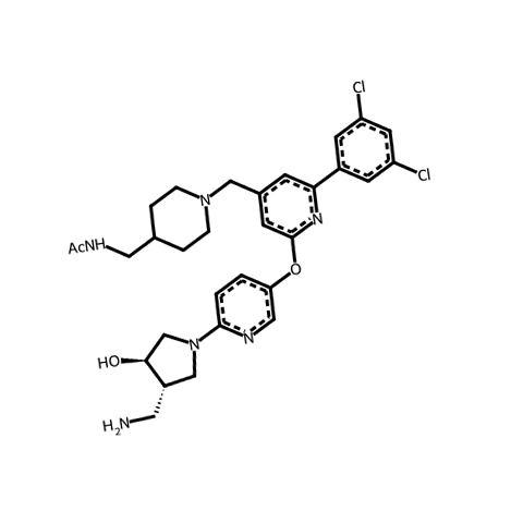 CC(=O)NCC1CCN(Cc2cc(Oc3ccc(N4C[C@H](CN)[C@@H](O)C4)nc3)nc(-c3cc(Cl)cc(Cl)c3)c2)CC1